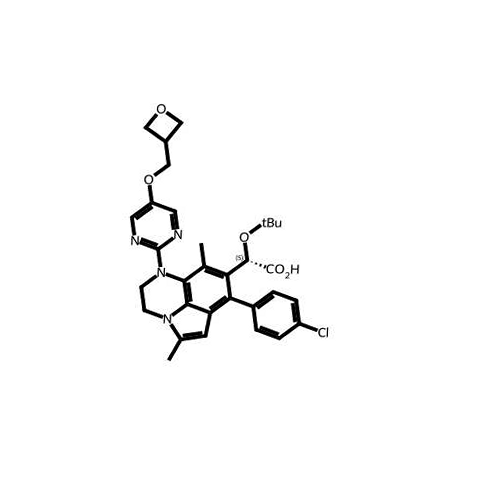 Cc1c([C@H](OC(C)(C)C)C(=O)O)c(-c2ccc(Cl)cc2)c2cc(C)n3c2c1N(c1ncc(OCC2COC2)cn1)CC3